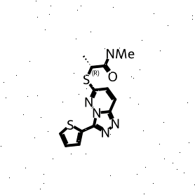 CNC(=O)[C@@H](C)Sc1ccc2nnc(-c3cccs3)n2n1